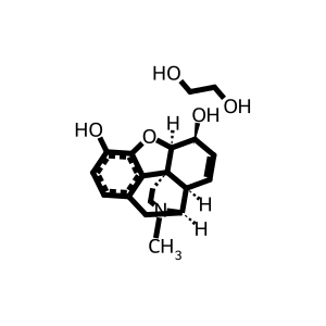 CN1CC[C@]23c4c5ccc(O)c4O[C@H]2[C@@H](O)C=C[C@H]3[C@H]1C5.OCCO